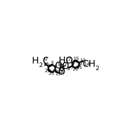 C=CC1=CC2OB(OCc3ccc(C=C)cc3O)OCC2C=C1